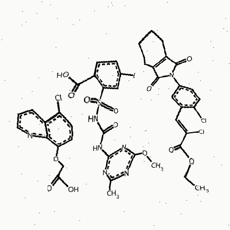 CCOC(=O)/C(Cl)=C/c1cc(N2C(=O)C3=C(CCCC3)C2=O)ccc1Cl.COc1nc(C)nc(NC(=O)NS(=O)(=O)c2cc(I)ccc2C(=O)O)n1.O=C(O)COc1ccc(Cl)c2cccnc12